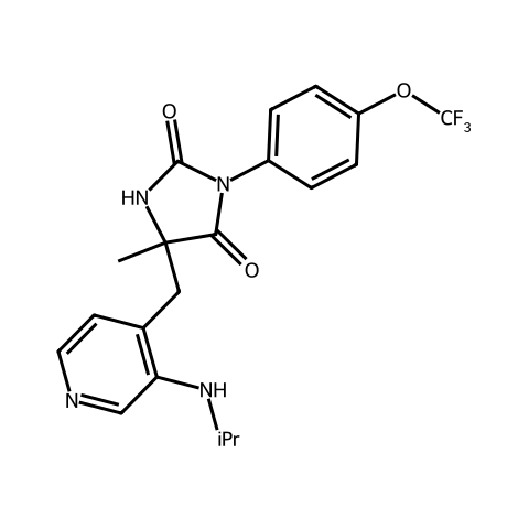 CC(C)Nc1cnccc1CC1(C)NC(=O)N(c2ccc(OC(F)(F)F)cc2)C1=O